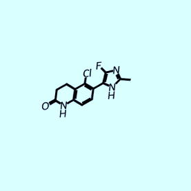 Cc1nc(F)c(-c2ccc3c(c2Cl)CCC(=O)N3)[nH]1